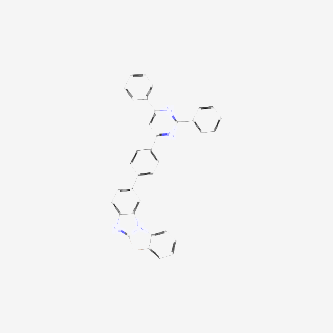 c1ccc(-c2cc(-c3ccc(-c4ccc5nc6sc7ccccc7n6c5c4)cc3)nc(-c3ccccc3)n2)cc1